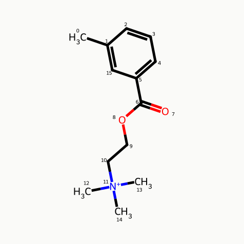 Cc1cccc(C(=O)OCC[N+](C)(C)C)c1